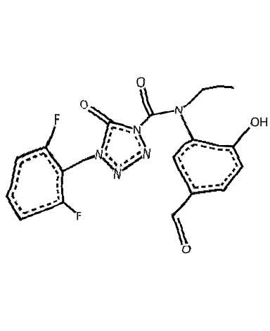 CCN(C(=O)n1nnn(-c2c(F)cccc2F)c1=O)c1cc(C=O)ccc1O